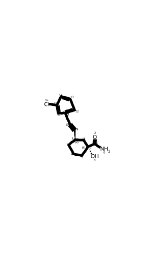 NC(=O)[C@@]1(O)CCC[C@@H](C#Cc2cccc(Cl)c2)C1